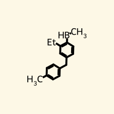 CBc1ccc(Cc2ccc(C)cc2)cc1CC